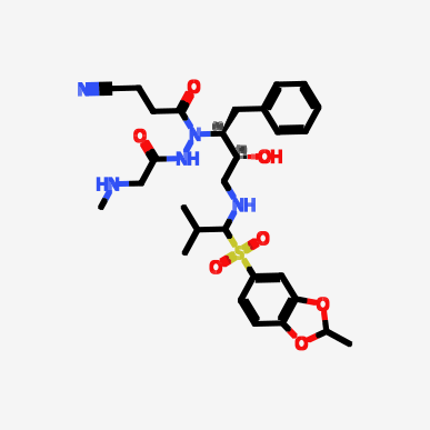 CNCC(=O)NN(C(=O)CCC#N)[C@@H](Cc1ccccc1)[C@H](O)CNC(C(C)C)S(=O)(=O)c1ccc2c(c1)OC(C)O2